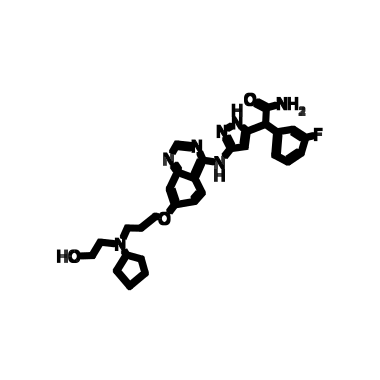 NC(=O)C(c1cccc(F)c1)c1cc(Nc2ncnc3cc(OCCCN(CCO)C4CCCC4)ccc23)n[nH]1